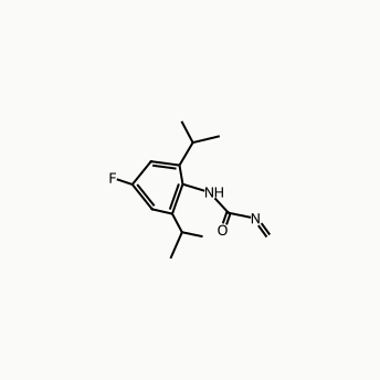 C=NC(=O)Nc1c(C(C)C)cc(F)cc1C(C)C